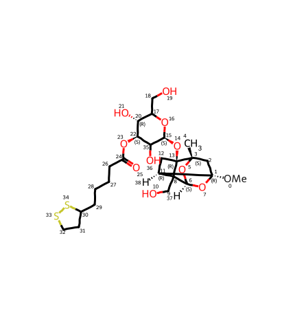 CO[C@]12C[C@]3(C)O[C@@H](O1)C1(CO)[C@H]2C[C@@]13O[C@@H]1OC(CO)[C@@H](O)[C@H](OC(=O)CCCCC2CCSS2)C1O